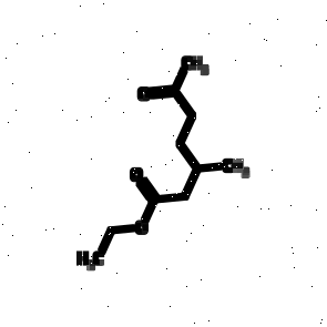 CCOC(=O)CC(C)CCC(C)=O